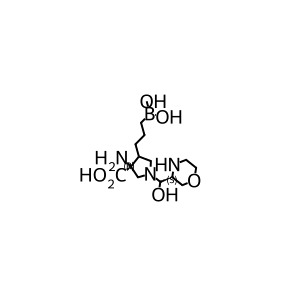 N[C@@]1(C(=O)O)CN(C(O)[C@@H]2COCCN2)CC1CCCB(O)O